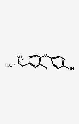 C[C@H](N)Cc1ccc(Oc2ccc(O)cc2)c(I)c1